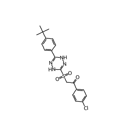 CC(C)(C)c1ccc(C2=NNC(S(=O)(=O)CC(=O)c3ccc(Cl)cc3)=NN2)cc1